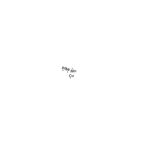 [Ag].[Cu].[Mn].[Ni]